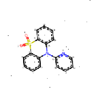 O=S1(=O)c2ccccc2N(c2ccccn2)c2ccccc21